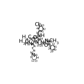 CCC(C)N[C@H](CCCCN1CCCCC1)C(=O)N1CCN(C2=N[C@@H](C)[C@H](c3ccccc3)O2)C[C@H]1C(=O)NCc1cccc(Cl)c1